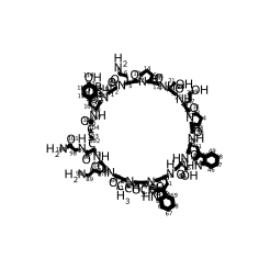 CCCC[C@H]1C(=O)N[C@@H](CC(N)=O)C(=O)N2CCC[C@H]2C(=O)N[C@@H](CO)C(=O)N[C@@H](CCO)C(=O)N2CCC[C@H]2C(=O)N[C@@H](Cc2c[nH]c3ccccc23)C(=O)N[C@@H](CO)C(=O)N[C@@H](Cc2c[nH]c3ccccc23)C(=O)N(C)[C@@H](C)C(=O)N(C)[C@@H](C)C(=O)N[C@@H](CCCN)C(=O)NC(C(=O)NCC(N)=O)CSCC(=O)N[C@@H](Cc2ccc(O)cc2)C(=O)N1C